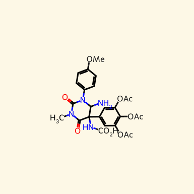 COc1ccc(N2C(=O)N(C)C(=O)C(NC(=O)O)(c3cc(OC(C)=O)c(OC(C)=O)c(OC(C)=O)c3)C2N)cc1